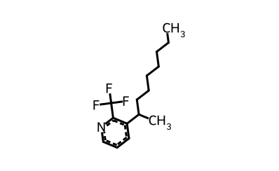 CCCCCCCC(C)c1cccnc1C(F)(F)F